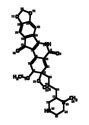 COC1C=c2c3c([nH]c(=O)c2=CC1(CCCC1CNCCN1C)OC)-c1cc2c(cc1C3=O)OCO2